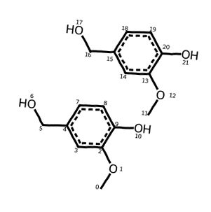 COc1cc(CO)ccc1O.COc1cc(CO)ccc1O